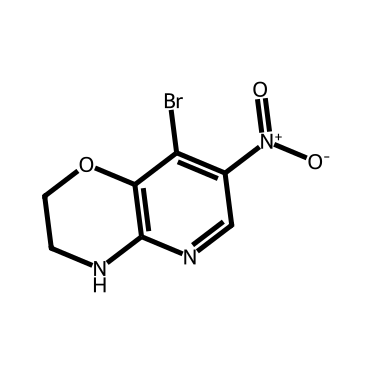 O=[N+]([O-])c1cnc2c(c1Br)OCCN2